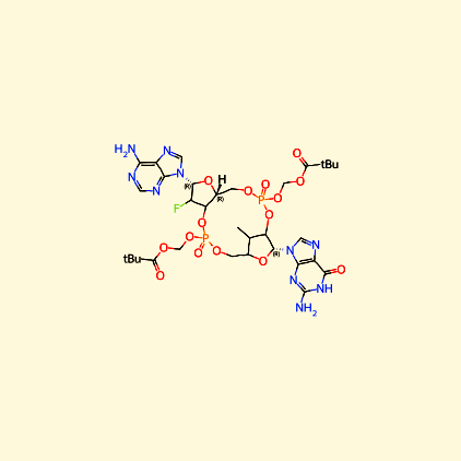 CC1C2COP(=O)(OCOC(=O)C(C)(C)C)OC3C(F)[C@H](n4cnc5c(N)ncnc54)O[C@@H]3COP(=O)(OCOC(=O)C(C)(C)C)OC1[C@H](n1cnc3c(=O)[nH]c(N)nc31)O2